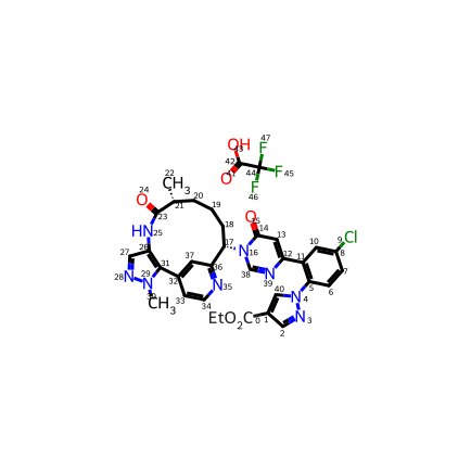 CCOC(=O)c1cnn(-c2ccc(Cl)cc2-c2cc(=O)n([C@H]3CCC[C@@H](C)C(=O)Nc4cnn(C)c4-c4ccnc3c4)cn2)c1.O=C(O)C(F)(F)F